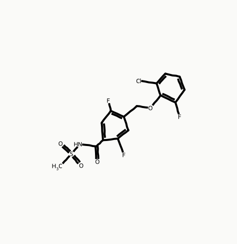 CS(=O)(=O)NC(=O)c1cc(F)c(COc2c(F)cccc2Cl)cc1F